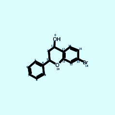 OC1CC(c2ccccc2)Oc2cc(Br)ccc21